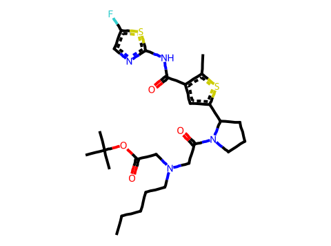 CCCCCN(CC(=O)OC(C)(C)C)CC(=O)N1CCCC1c1cc(C(=O)Nc2ncc(F)s2)c(C)s1